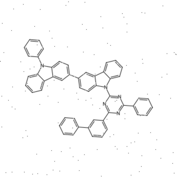 c1ccc(-c2cccc(-c3nc(-c4ccccc4)nc(-n4c5ccccc5c5cc(-c6ccc7c(c6)c6ccccc6n7-c6ccccc6)ccc54)n3)c2)cc1